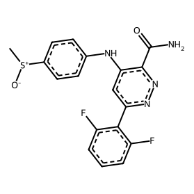 C[S+]([O-])c1ccc(Nc2cc(-c3c(F)cccc3F)nnc2C(N)=O)cc1